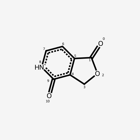 O=C1OCc2c1cc[nH]c2=O